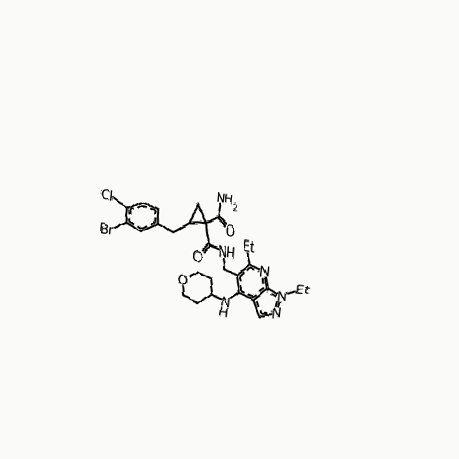 CCc1nc2c(cnn2CC)c(NC2CCOCC2)c1CNC(=O)C1(C(N)=O)CC1Cc1ccc(Cl)c(Br)c1